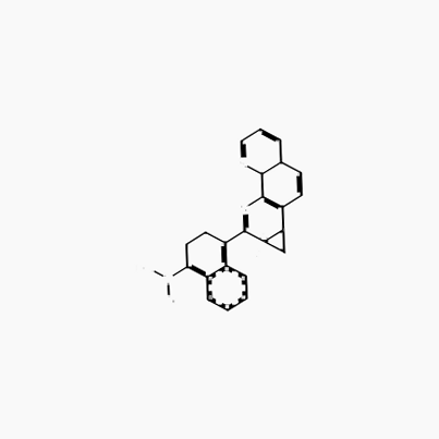 OB(O)C1=c2ccccc2=C(C2=NC3=C(C=CC4C=CC=NC34)C3C[C@@H]23)CC1